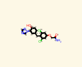 NC(=O)COc1cc(Cl)c(Cc2ccc(O)c(-n3cncn3)c2)c(Cl)c1